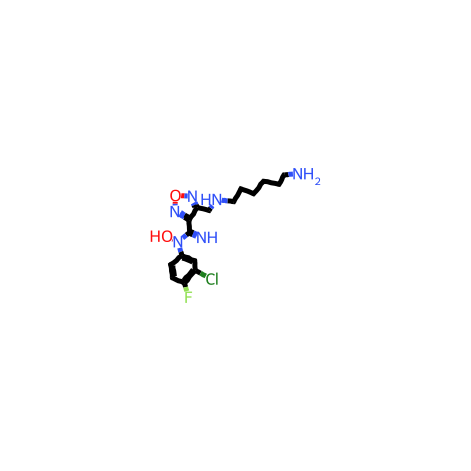 N=C(c1nonc1CNCCCCCCN)N(O)c1ccc(F)c(Cl)c1